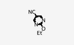 CCOc1ncc(C#N)cn1